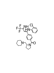 N=C(/C=C(\Nc1ccccc1Cl)c1ccc(C(=O)N2CCCC2CN2CCCCC2)cc1)C(F)(F)F